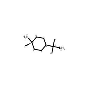 CC(C)(N)[C@H]1CC[C@](C)(N)CC1